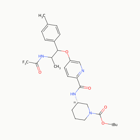 Cc1ccc(C(Oc2ccc(C(=O)N[C@H]3CCCN(C(=O)OC(C)(C)C)C3)nc2)C(C)NC(=O)C(F)(F)F)cc1